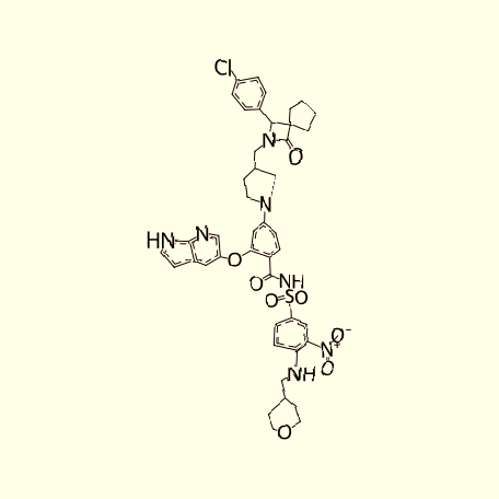 O=C(NS(=O)(=O)c1ccc(NCC2CCOCC2)c([N+](=O)[O-])c1)c1ccc(N2CCC(CN3C(=O)C4(CCCC4)C3c3ccc(Cl)cc3)CC2)cc1Oc1cnc2[nH]ccc2c1